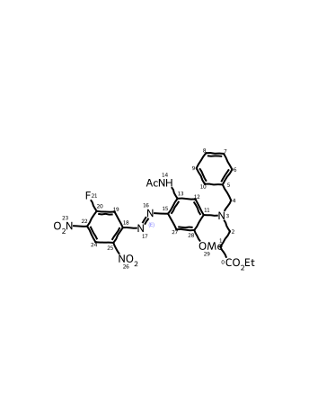 CCOC(=O)CCN(Cc1ccccc1)c1cc(NC(C)=O)c(/N=N/c2cc(F)c([N+](=O)[O-])cc2[N+](=O)[O-])cc1OC